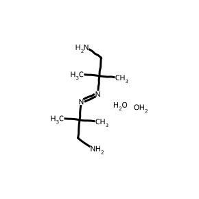 CC(C)(CN)N=NC(C)(C)CN.O.O